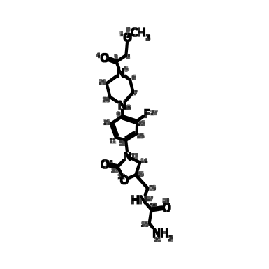 COCC(=O)N1CCN(c2ccc(N3CC(CNC(=O)CN)OC3=O)cc2F)CC1